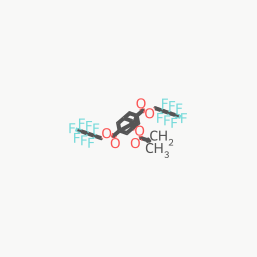 C=C(C)C(=O)OC12CC3CC(C(=O)OCC(F)(F)C(F)(F)C(F)(F)F)(C1)CC(C(=O)OCC(F)(F)C(F)(F)C(F)(F)F)(C3)C2